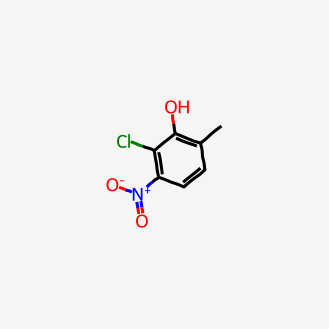 Cc1ccc([N+](=O)[O-])c(Cl)c1O